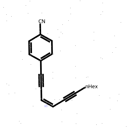 CCCCCCC#C/C=C\C#Cc1ccc(C#N)cc1